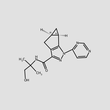 CC(C)(CO)NC(=O)c1nn(-c2ccncn2)c2c1C[C@H]1C[C@@H]21